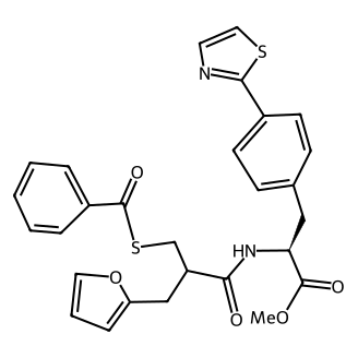 COC(=O)[C@H](Cc1ccc(-c2nccs2)cc1)NC(=O)C(CSC(=O)c1ccccc1)Cc1ccco1